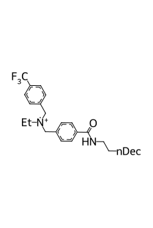 CCCCCCCCCCCCNC(=O)c1ccc(C[N+](CC)Cc2ccc(C(F)(F)F)cc2)cc1